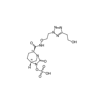 O=C(NOCCn1nnc(CCO)n1)[C@@H]1CC[C@@H]2CN1C(=O)N2OS(=O)(=O)O